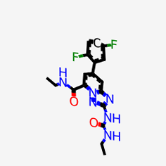 CCNC(=O)Nc1nc2cc(-c3cc(F)ccc3F)cc(C(=O)NCC)n2n1